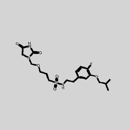 CC(C)COc1cc(CCNS(=O)(=O)CCCOCN2CC(=O)NC2=O)ccc1F